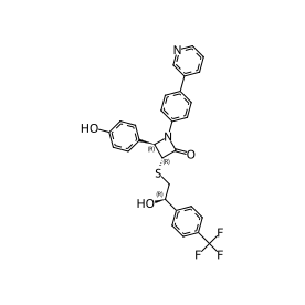 O=C1[C@H](SC[C@H](O)c2ccc(C(F)(F)F)cc2)[C@@H](c2ccc(O)cc2)N1c1ccc(-c2cccnc2)cc1